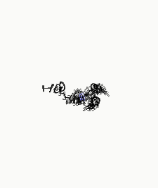 C[C@@H](CCCCC(=O)O)[C@H]1CC[C@H]2/C(=C/C=C3C[C@@H](O[Si](C)(C)C(C)(C)C)C[C@H](O[Si](C)(C)C(C)(C)C)C3)CCC[C@]12C